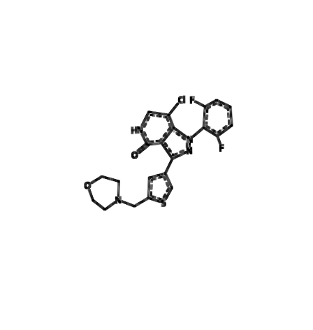 O=c1[nH]cc(Cl)c2c1c(-c1csc(CN3CCOCC3)c1)nn2-c1c(F)cccc1F